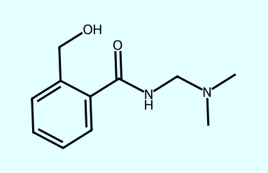 CN(C)CNC(=O)c1ccccc1CO